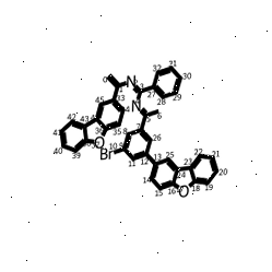 C=C(/N=C(\N=C(/C)c1cc(Br)cc(-c2ccc3oc4ccccc4c3c2)c1)c1ccccc1)c1ccc2oc3ccccc3c2c1